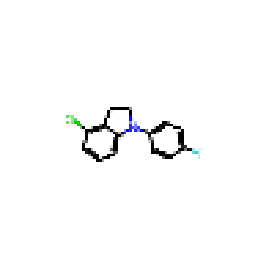 Fc1ccc(N2CCc3c(Cl)cccc32)cc1